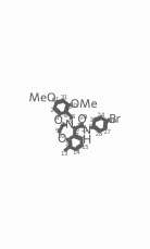 COc1ccc(CN2C(=O)COc3c(C)cccc3C2C(=O)Nc2ccc(Br)cc2)c(OC)c1